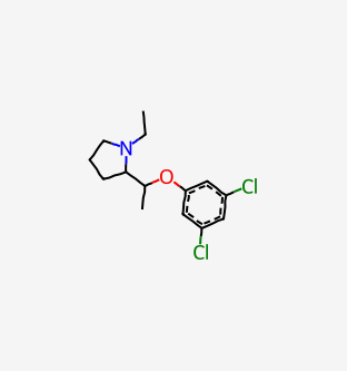 CCN1CCCC1C(C)Oc1cc(Cl)cc(Cl)c1